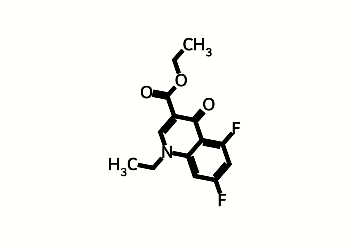 CCOC(=O)c1cn(CC)c2cc(F)cc(F)c2c1=O